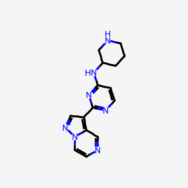 c1cn2ncc(-c3nccc(NC4CCCNC4)n3)c2cn1